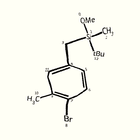 CO[Si](C)(Cc1ccc(Br)c(C)c1)C(C)(C)C